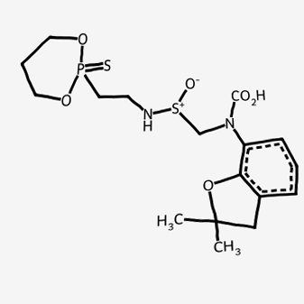 CC1(C)Cc2cccc(N(C[S+]([O-])NCCP3(=S)OCCCO3)C(=O)O)c2O1